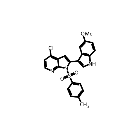 COc1ccc2[nH]cc(-c3cc4c(Cl)ccnc4n3S(=O)(=O)c3ccc(C)cc3)c2c1